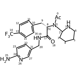 CC(=O)N(C1CCCCN1)[C@@H](Cc1ccc(C(F)(F)F)cc1)C(=O)NCc1ccc(N)nc1